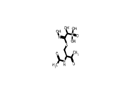 CC(=O)NC(CSC(=NO)C(O)P(=O)(O)O)C(C)=O